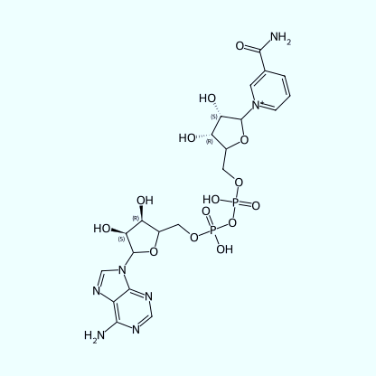 NC(=O)c1ccc[n+](C2OC(COP(=O)(O)OP(=O)(O)OCC3OC(n4cnc5c(N)ncnc54)[C@@H](O)[C@H]3O)[C@H](O)[C@@H]2O)c1